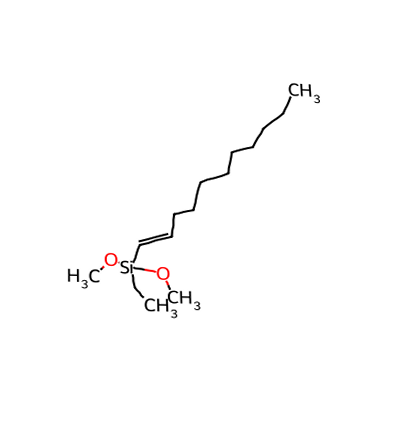 CCCCCCCCCC=C[Si](CC)(OC)OC